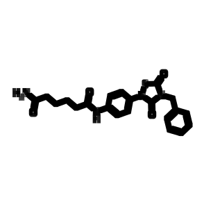 NC(=O)CCCCC(=O)Nc1ccc(-n2sc(=O)n(Cc3ccccc3)c2=O)cc1